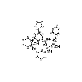 O=C(N[C@@H](Cc1ccccc1)[C@H](O)CNC1CCCCC1)c1cc(C2CCCC2)cc(N2CCCCS2(O)O)c1